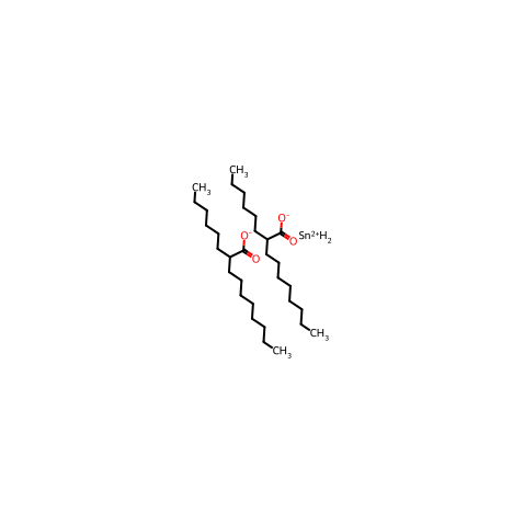 CCCCCCCCC(CCCCCC)C(=O)[O-].CCCCCCCCC(CCCCCC)C(=O)[O-].[SnH2+2]